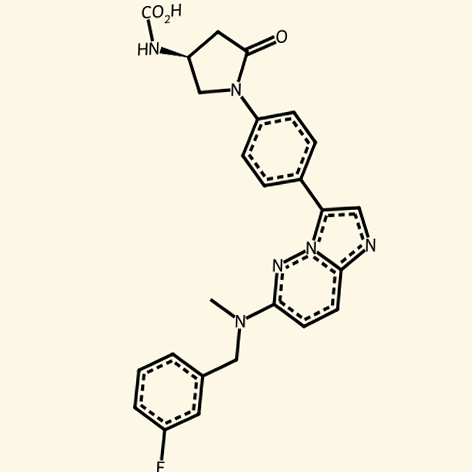 CN(Cc1cccc(F)c1)c1ccc2ncc(-c3ccc(N4C[C@@H](NC(=O)O)CC4=O)cc3)n2n1